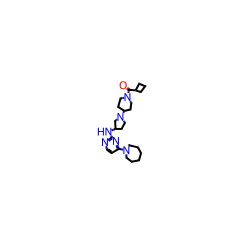 O=C(C1CCC1)N1CCC(N2CCC(Nc3nccc(N4CCCCCC4)n3)C2)CC1